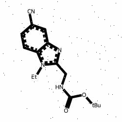 CCn1c(CNC(=O)OC(C)(C)C)nc2cc(C#N)ccc21